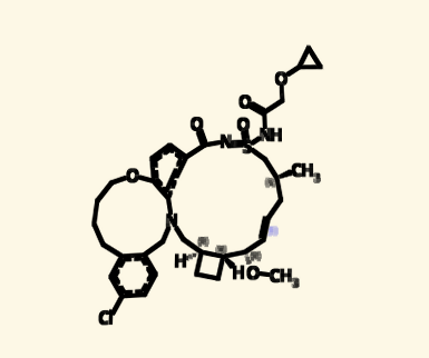 CO[C@H]1/C=C/C[C@H](C)CS(=O)(NC(=O)COC2CC2)=NC(=O)c2ccc3c(c2)N(Cc2ccc(Cl)cc2CCCCO3)C[C@@H]2CC[C@H]21